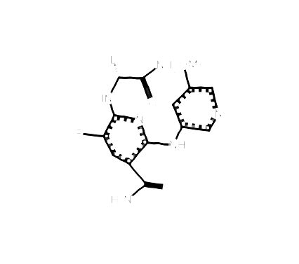 CC[C@@H](Nc1nc(Nc2cncc(OC)c2)c(C(N)=O)cc1F)C(N)=O